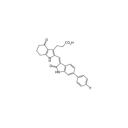 O=C(O)CCc1c(/C=C2\C(=O)Nc3cc(-c4ccc(F)cc4)ccc32)[nH]c2c1C(=O)CCC2